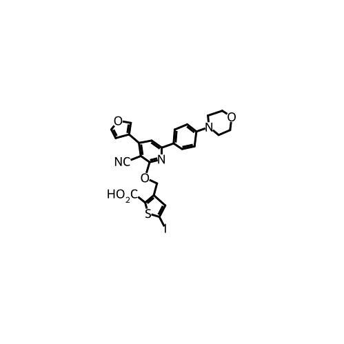 N#Cc1c(-c2ccoc2)cc(-c2ccc(N3CCOCC3)cc2)nc1OCc1cc(I)sc1C(=O)O